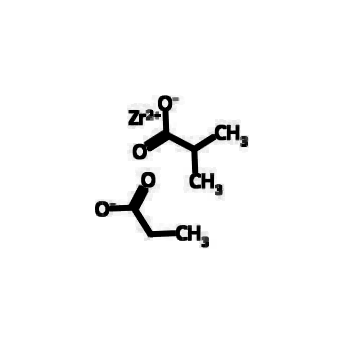 CC(C)C(=O)[O-].CCC(=O)[O-].[Zr+2]